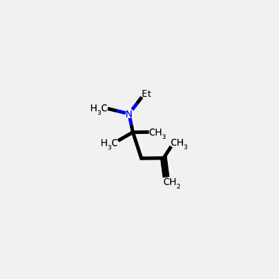 C=C(C)CC(C)(C)N(C)CC